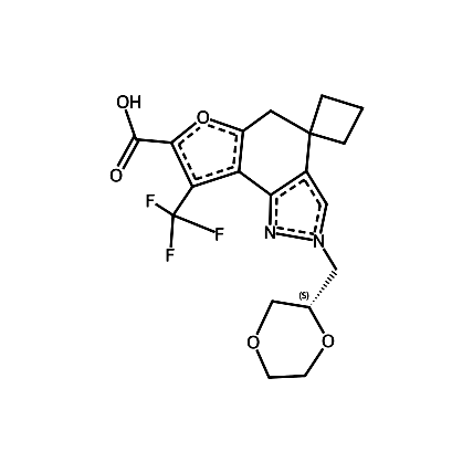 O=C(O)c1oc2c(c1C(F)(F)F)-c1nn(C[C@H]3COCCO3)cc1C1(CCC1)C2